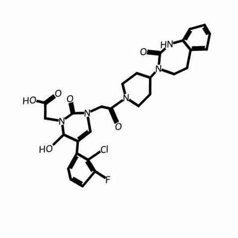 O=C(O)CN1C(=O)N(CC(=O)N2CCC(N3CCc4ccccc4NC3=O)CC2)C=C(c2cccc(F)c2Cl)C1O